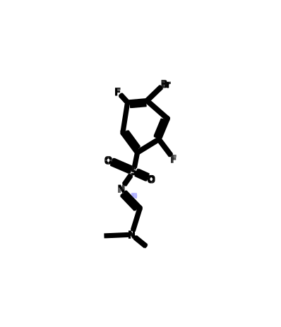 CN(C)/C=N/S(=O)(=O)c1cc(F)c(Br)cc1F